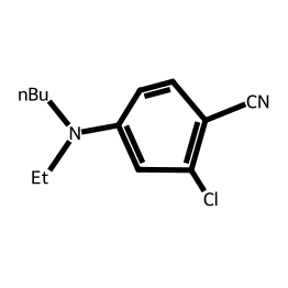 CCCCN(CC)c1ccc(C#N)c(Cl)c1